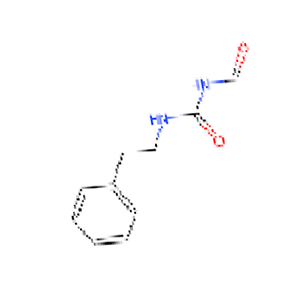 O=CNC(=O)NCCc1ccccc1